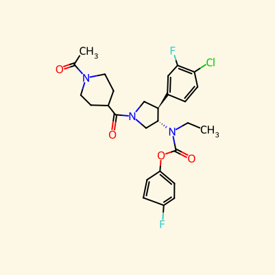 CCN(C(=O)Oc1ccc(F)cc1)[C@@H]1CN(C(=O)C2CCN(C(C)=O)CC2)C[C@H]1c1ccc(Cl)c(F)c1